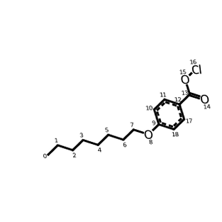 CCCCCCCCOc1ccc(C(=O)OCl)cc1